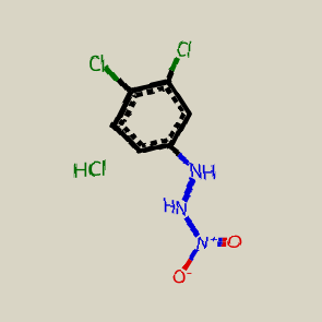 Cl.O=[N+]([O-])NNc1ccc(Cl)c(Cl)c1